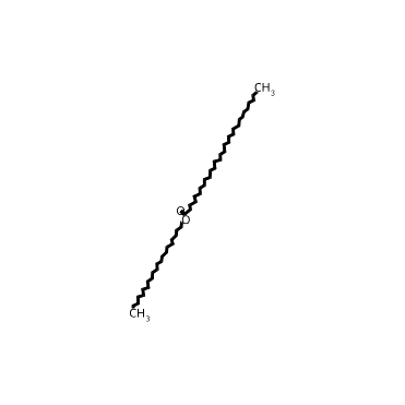 CCCCCCCCCCCCCCCCCCCCCCCCCCCCCCC(=O)OCCCCCCCCCCCCCCCCCCCCCC